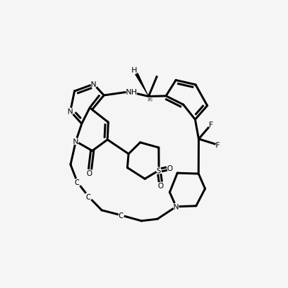 C[C@H]1Nc2ncnc3c2cc(C2CCS(=O)(=O)CC2)c(=O)n3CCCCCCCN2CCC(CC2)C(F)(F)c2cccc1c2